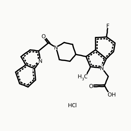 Cc1c(C2CCN(C(=O)c3ccc4ccccc4n3)CC2)c2cc(F)ccc2n1CC(=O)O.Cl